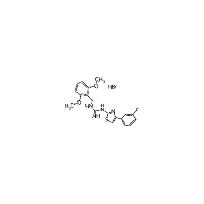 Br.COc1cccc(OC)c1CNC(=N)Nc1nc(-c2cccc(F)c2)cs1